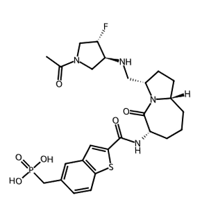 CC(=O)N1C[C@H](NC[C@@H]2CC[C@@H]3CCC[C@H](NC(=O)c4cc5cc(CP(=O)(O)O)ccc5s4)C(=O)N32)[C@@H](F)C1